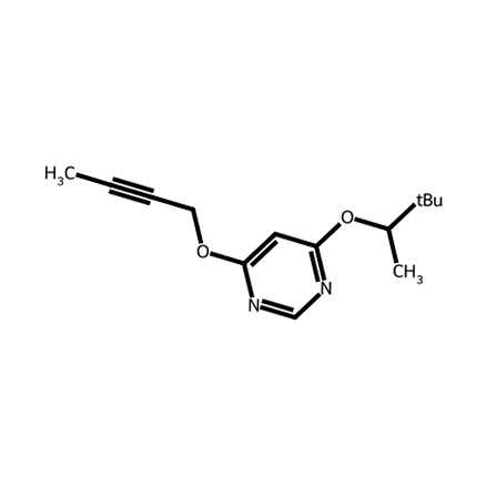 CC#CCOc1cc(OC(C)C(C)(C)C)ncn1